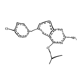 CC(C)Oc1nc(N)nc2ccc(-c3ccc(Cl)cc3)cc12